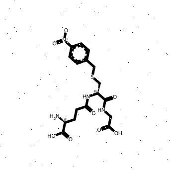 N[C@@H](CCC(=O)N[C@@H](CSCc1ccc([N+](=O)[O-])cc1)C(=O)NCC(=O)O)C(=O)O